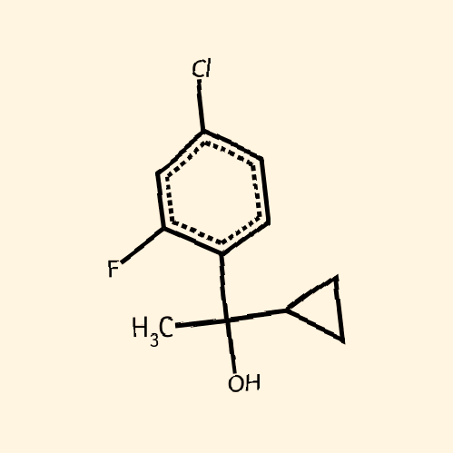 CC(O)(c1ccc(Cl)cc1F)C1CC1